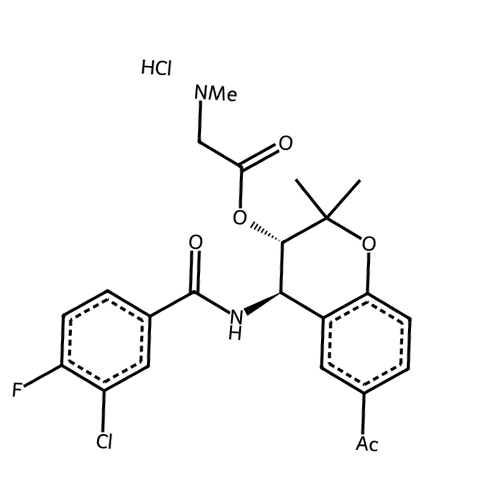 CNCC(=O)O[C@H]1[C@H](NC(=O)c2ccc(F)c(Cl)c2)c2cc(C(C)=O)ccc2OC1(C)C.Cl